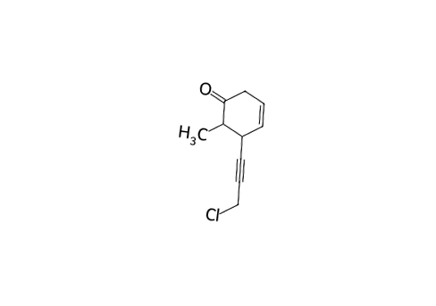 CC1C(=O)CC=CC1C#CCCl